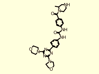 CC1CNCCN1C(=O)c1ccc(NC(=O)Nc2ccc(-c3nc(N4CCOCC4)nc(N4CCOCC4)n3)cc2)cc1